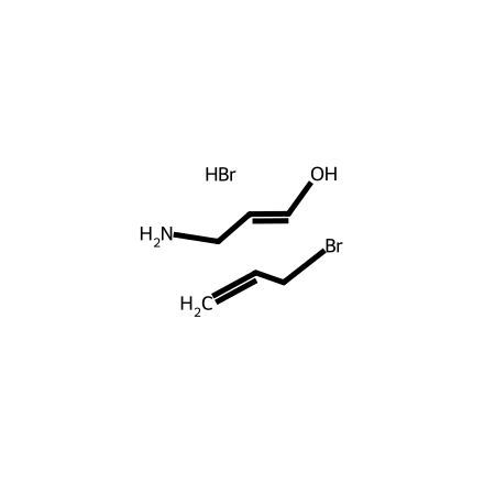 Br.C=CCBr.NCC=CO